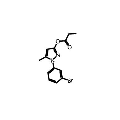 CCC(=O)Oc1cc(C)n(-c2cccc(Br)c2)n1